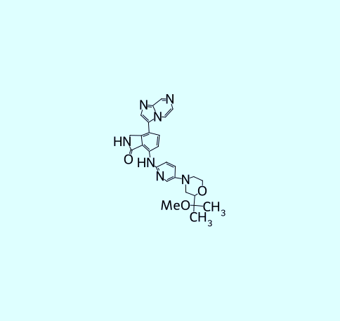 COC(C)(C)C1CN(c2ccc(Nc3ccc(-c4cnc5cnccn45)c4c3C(=O)NC4)nc2)CCO1